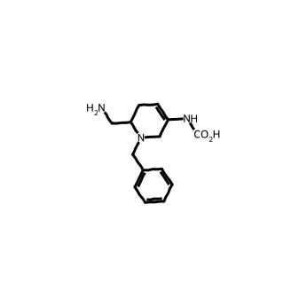 NCC1CC=C(NC(=O)O)CN1Cc1ccccc1